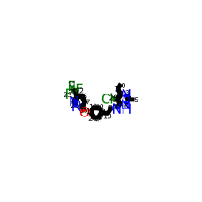 CCc1nc(C)nc(NCCc2ccc(Oc3ccc(C(F)(F)F)nn3)cc2)c1Cl